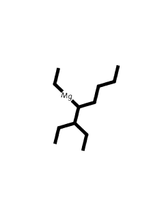 CCCC[CH]([Mg][CH2]C)C(CC)CC